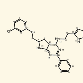 Clc1cccc(OCC2Cc3c(NCCc4ccc[nH]4)nc(-c4ccccc4)nc3N2)c1